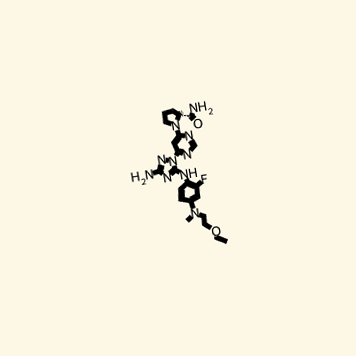 CCOCCN(C)c1ccc(Nc2nc(N)nn2-c2cc(N3CCC[C@@H]3C(N)=O)ncn2)c(F)c1